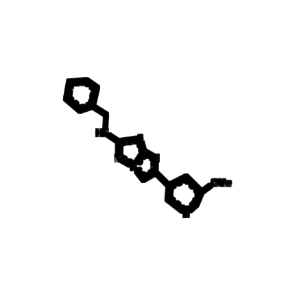 COc1cncc(-c2cn3nc(NCc4ccccc4)sc3n2)c1